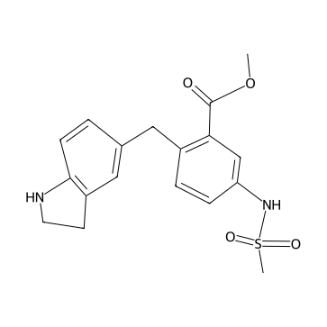 COC(=O)c1cc(NS(C)(=O)=O)ccc1Cc1ccc2c(c1)CCN2